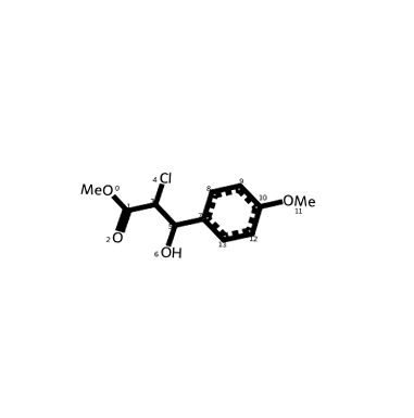 COC(=O)C(Cl)C(O)c1ccc(OC)cc1